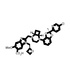 COc1cc2nc(CN3CCN(c4cccc5c4O[C@@](C)(c4ccc(Cl)cn4)O5)[C@H]4CC[C@H]43)n(C[C@@H]3CCO3)c2cc1C(=O)O